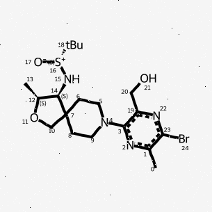 Cc1nc(N2CCC3(CC2)CO[C@@H](C)[C@H]3N[S@+]([O-])C(C)(C)C)c(CO)nc1Br